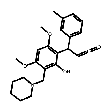 COc1cc(OC)c(C(C=C=O)c2cccc(C)c2)c(O)c1CN1CCCCC1